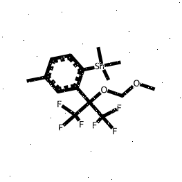 COCOC(c1cc(C)cc[c]1[Sn]([CH3])([CH3])[CH3])(C(F)(F)F)C(F)(F)F